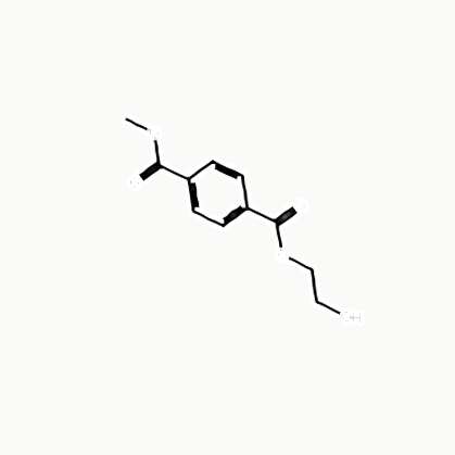 COC(=O)c1ccc(C(=O)OCCO)cc1